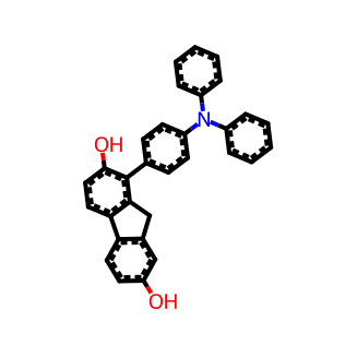 Oc1ccc2c(c1)Cc1c-2ccc(O)c1-c1ccc(N(c2ccccc2)c2ccccc2)cc1